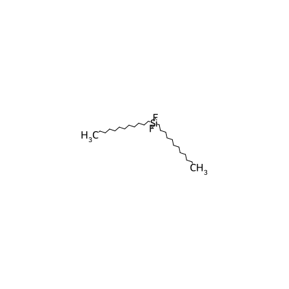 CCCCCCCCCCCC[Si](F)(F)CCCCCCCCCCCC